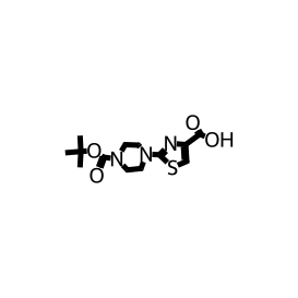 CC(C)(C)OC(=O)N1CCN(c2nc(C(=O)O)cs2)CC1